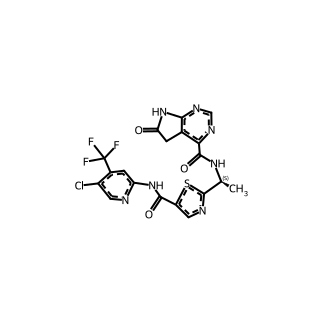 C[C@H](NC(=O)c1ncnc2c1CC(=O)N2)c1ncc(C(=O)Nc2cc(C(F)(F)F)c(Cl)cn2)s1